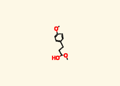 COc1ccc(CCC(O)OC)cc1